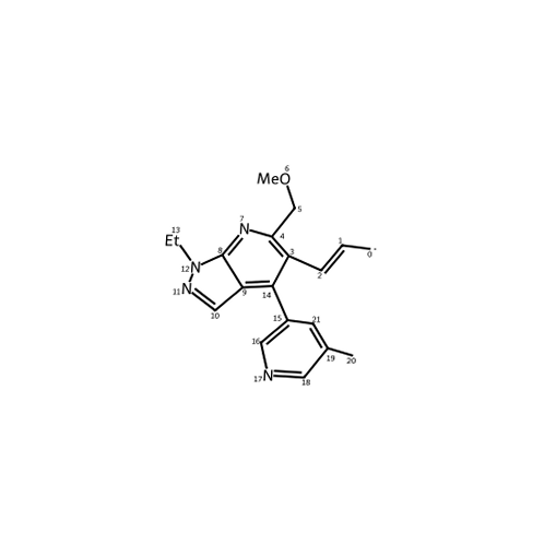 [CH2]/C=C/c1c(COC)nc2c(cnn2CC)c1-c1cncc(C)c1